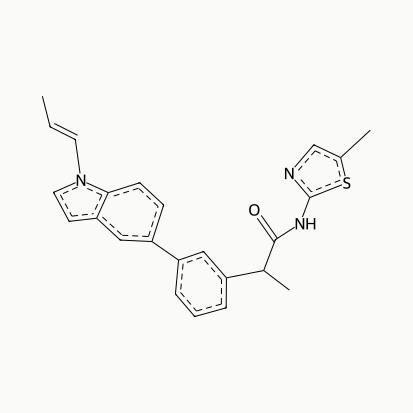 CC=Cn1ccc2cc(-c3cccc(C(C)C(=O)Nc4ncc(C)s4)c3)ccc21